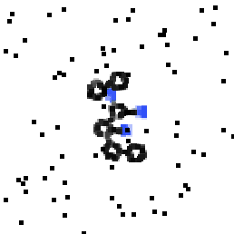 N#Cc1cc(-c2cccc(-c3cccc(-c4ccccc4)c3)c2C#N)cc(-n2c3ccccc3c3ccccc32)c1